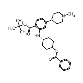 CN1CCN(c2ccc(C(=O)OC(C)(C)C)c(N[C@H]3CC[C@H](OC(=O)c4ccccc4)CC3)c2)CC1